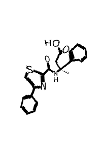 C[C@@](CC(=O)O)(NC(=O)c1nc(-c2ccccc2)cs1)c1ccccc1